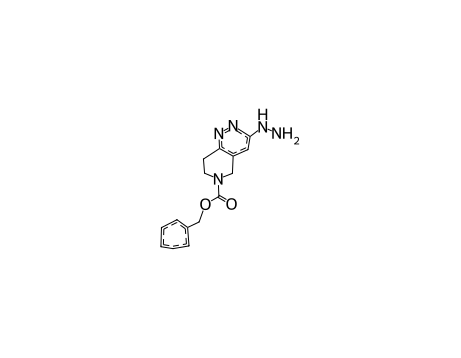 NNc1cc2c(nn1)CCN(C(=O)OCc1ccccc1)C2